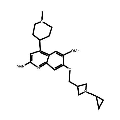 CNc1cc(C2CCN(C)CC2)c2cc(OC)c(OCC3CN(C4CC4)C3)cc2n1